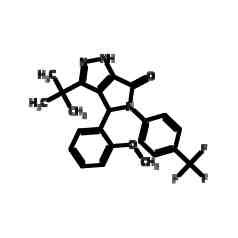 COc1ccccc1C1c2c(C(C)(C)C)n[nH]c2C(=O)N1c1ccc(C(F)(F)F)cc1